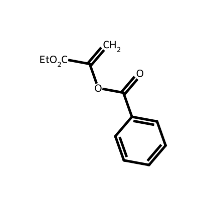 C=C(OC(=O)c1ccccc1)C(=O)OCC